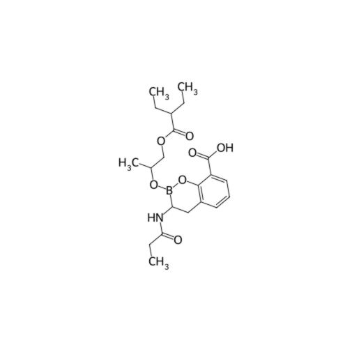 CCC(=O)NC1Cc2cccc(C(=O)O)c2OB1OC(C)COC(=O)C(CC)CC